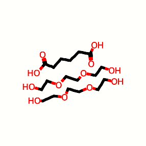 O=C(O)CCCCC(=O)O.OCCOCCOCCO.OCCOCCOCCO